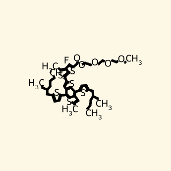 CCCCC(CC)Cc1ccc(-c2c3cc(-c4sc(C)c5c(F)c(C(=O)OCCOCCOCCOCC)sc45)sc3c(-c3ccc(CC(CC)CCCC)s3)c3cc(C)sc23)s1